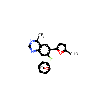 O=Cc1ccc(-c2cc3c(C(F)(F)F)ncnc3cc2F)o1.c1cc2ccc1CO2